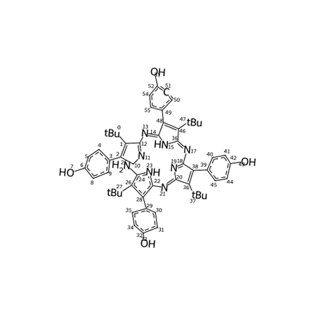 CC(C)(C)C1=C(c2ccc(O)cc2)CN=C1/N=C1\N/C(=N\C2=NC(=N\c3[nH]c(N)c(C(C)(C)C)c3-c3ccc(O)cc3)/C(C(C)(C)C)=C2c2ccc(O)cc2)C(C(C)(C)C)=C1c1ccc(O)cc1